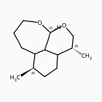 C[C@@H]1CCC2C3C1CCCO[C@H]3OC[C@@H]2C